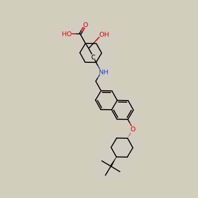 CC(C)(C)[C@H]1CC[C@H](Oc2ccc3cc(CNC45CCC(C(=O)O)(CC4)C(O)C5)ccc3c2)CC1